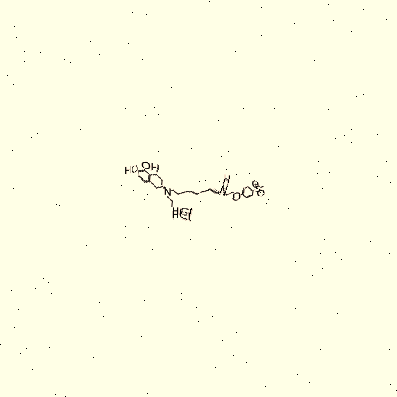 CCCN(CCCCCCNCCOc1ccc(S(C)(=O)=O)cc1)C1CCc2c(ccc(O)c2O)C1.Cl.Cl